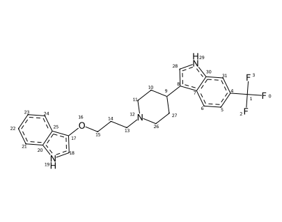 FC(F)(F)c1ccc2c(C3CCN(CCCOc4c[nH]c5ccccc45)CC3)c[nH]c2c1